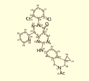 CC(=O)N1Cc2cc(Nc3ncc4c(=O)n(-c5c(Cl)cccc5Cl)nc(-c5ccccn5)c4n3)ccc2C2(CC2)C1